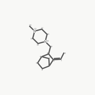 C/C=C1/C2CCC(C2)C1CN1CCN(C)CC1